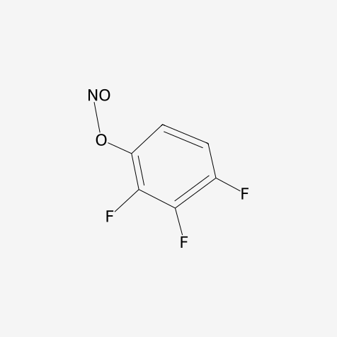 O=NOc1ccc(F)c(F)c1F